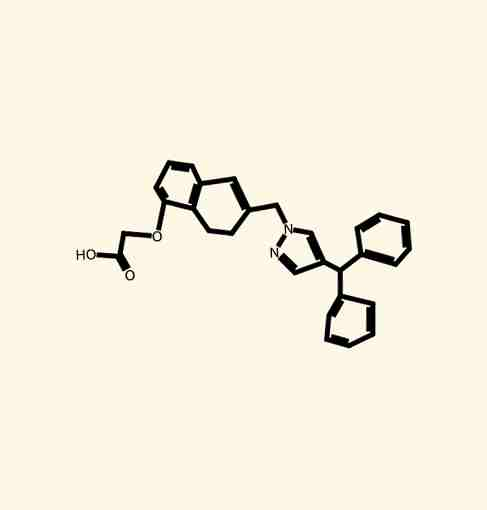 O=C(O)COc1cccc2c1CCC(Cn1cc(C(c3ccccc3)c3ccccc3)cn1)=C2